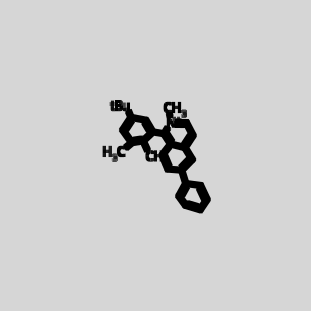 Cc1cc(C(C)(C)C)cc(-c2c3ccc(-c4ccccc4)cc3cc[n+]2C)c1C